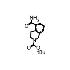 CC(C)(C)OC(=O)N1CCc2c(cccc2C(N)=O)C1